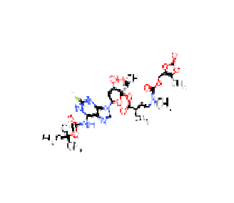 C#C[C@]1(OC(=O)C(C)CCN(C)C(=O)OCc2oc(=O)oc2C)O[C@@H](n2cnc3c(NC(=O)OC(C)(C)C)nc(F)nc32)C[C@@H]1O